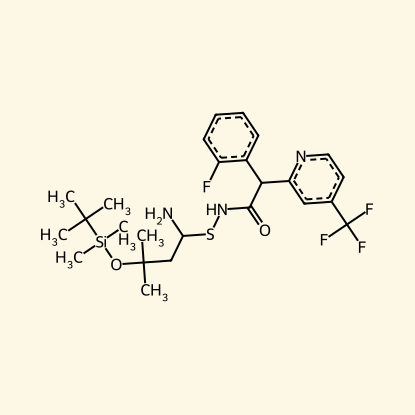 CC(C)(CC(N)SNC(=O)C(c1cc(C(F)(F)F)ccn1)c1ccccc1F)O[Si](C)(C)C(C)(C)C